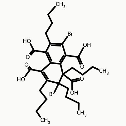 CCCCC1=C(C(=O)O)c2c(C(=O)O)c(CCCC)c(Br)c(C(=O)O)c2C(CCCC)(C(=O)O)C1(Br)CCCC